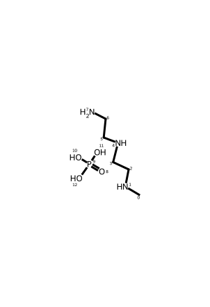 CNCCNCCN.O=P(O)(O)O